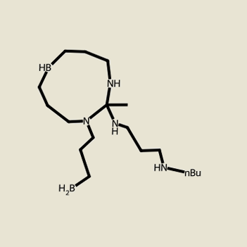 BCCCN1CCCBCCCNC1(C)NCCCNCCCC